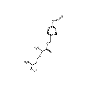 [N-]=[N+]=Nc1ccc(COC(=O)C(N)CCC[C@H](N)C(=O)O)cc1